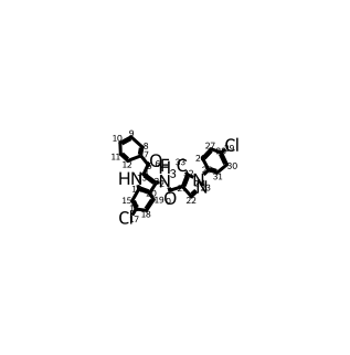 O=C(Nc1c(C(=O)c2ccccc2)[nH]c2cc(Cl)ccc12)c1cnn(-c2ccc(Cl)cc2)c1C(F)(F)F